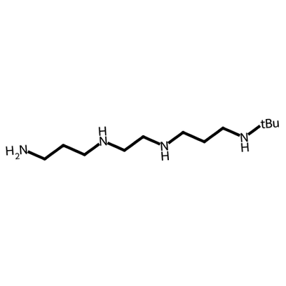 CC(C)(C)NCCCNCCNCCCN